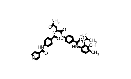 Cc1ccc(NC(=O)c2ccc(NC(=O)C(CC(N)=O)NC(=O)c3ccc(NC(=O)c4ccncc4)cc3)cc2)c(OC(C)C)c1O